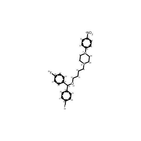 O=[N+]([O-])c1ccc(N2CCN(CCCCOC(c3ccc(F)cc3)c3ccc(F)cc3)CC2)cc1